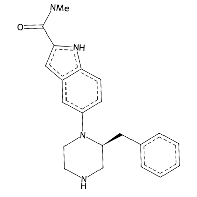 CNC(=O)c1cc2cc(N3CCNC[C@@H]3Cc3ccccc3)ccc2[nH]1